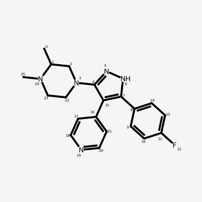 CC1CN(c2n[nH]c(-c3ccc(F)cc3)c2-c2ccncc2)CCN1C